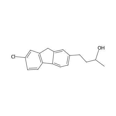 CC(O)CCc1ccc2c(c1)Cc1cc(Cl)ccc1-2